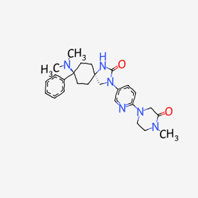 CN1CCN(c2ccc(N3C[C@]4(CC[C@](c5ccccc5)(N(C)C)CC4)NC3=O)cn2)CC1=O